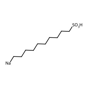 O=S(=O)(O)CCCCCCCCC[CH2][Na]